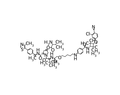 Cc1ncsc1-c1ccc([C@H](C)NC(=O)[C@@H]2C[C@@H](OC(=O)C(N)C(C)C)CN2C(=O)[C@@H](NC(=O)COCCCCCNc2ccc(C(=O)N[C@H]3C(C)(C)[C@H](Oc4ccc(C#N)c(Cl)c4)C3(C)C)cc2)C(C)(C)C)cc1